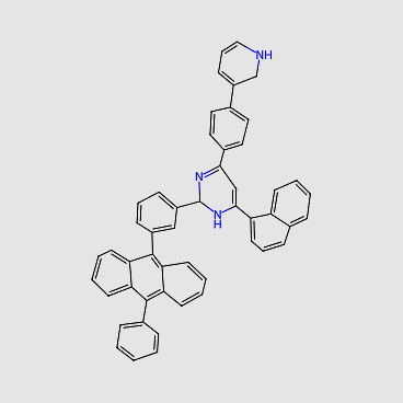 C1=CNCC(c2ccc(C3=NC(c4cccc(-c5c6ccccc6c(-c6ccccc6)c6ccccc56)c4)NC(c4cccc5ccccc45)=C3)cc2)=C1